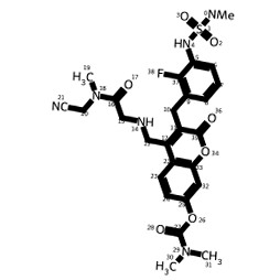 CNS(=O)(=O)Nc1cccc(Cc2c(CNCC(=O)N(C)CC#N)c3ccc(OC(=O)N(C)C)cc3oc2=O)c1F